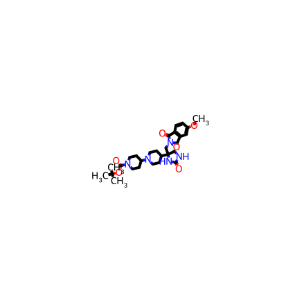 COc1ccc2c(c1)CN(CC1(C3CCN(C4CCN(C(=O)OC(C)(C)C)CC4)CC3)NC(=O)NC1=O)C2=O